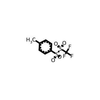 Cc1ccc(S(=O)(=O)S(=O)(=O)C(F)(F)F)cc1